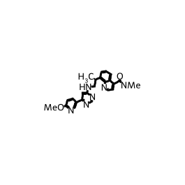 CNC(=O)c1ccnc2c([C@H](C)CNc3cc(-c4ccc(OC)nc4)ncn3)cccc12